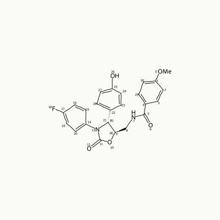 COc1ccc(C(=O)NC[C@H]2OC(=O)N(c3ccc(F)cc3)[C@@H]2c2ccc(O)cc2)cc1